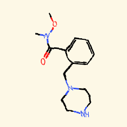 CON(C)C(=O)c1ccccc1CN1CCNCC1